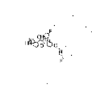 CC1=C(c2ccc(F)cc2)C(c2ccc(OCCN3CC(CF)C3)cn2)Oc2ccc3[nH]ncc3c21